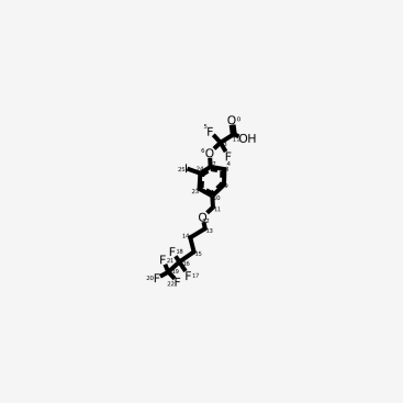 O=C(O)C(F)(F)Oc1ccc(COCCCC(F)(F)C(F)(F)F)cc1I